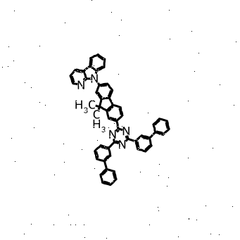 CC1(C)c2cc(-c3nc(-c4cccc(-c5ccccc5)c4)nc(-c4cccc(-c5ccccc5)c4)n3)ccc2-c2ccc(-n3c4ccccc4c4cccnc43)cc21